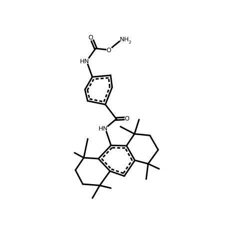 CC1(C)CCC(C)(C)c2c1cc1c(c2NC(=O)c2ccc(NC(=O)ON)cc2)C(C)(C)CCC1(C)C